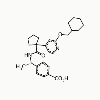 C[C@H](NC(=O)C1(c2ccnc(OCC3CCCCC3)c2)CCCC1)c1ccc(C(=O)O)cc1